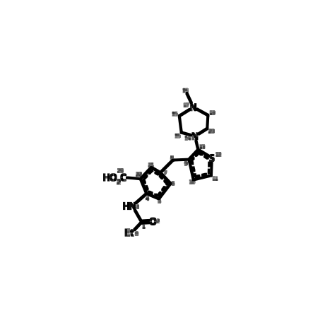 CCC(=O)Nc1ccc(Cc2ccsc2N2CCN(C)CC2)cc1C(=O)O